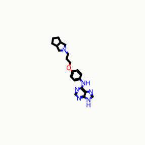 c1nc(Nc2ccc(OCCCN3CC4CCCC4C3)cc2)c2nc[nH]c2n1